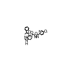 COc1ccc(-c2nnc(C(=O)N3CCc4[nH]cnc4[C@H]3c3oc4ccccc4c3C)o2)nc1